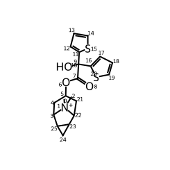 C[N+]1(C)C2CC(OC(=O)C(O)(c3cccs3)c3cccs3)CC1C1CC12